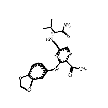 CC(C)[C@@H](Nc1cnc(C(N)=O)c(Nc2ccc3c(c2)OCO3)n1)C(N)=O